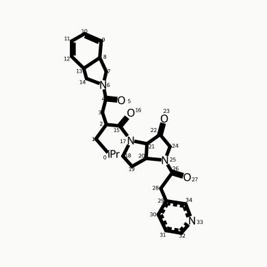 CC(C)CC(CC(=O)N1CC2C=CC=CC2C1)C(=O)N1CCC2C1C(=O)CN2C(=O)Cc1cccnc1